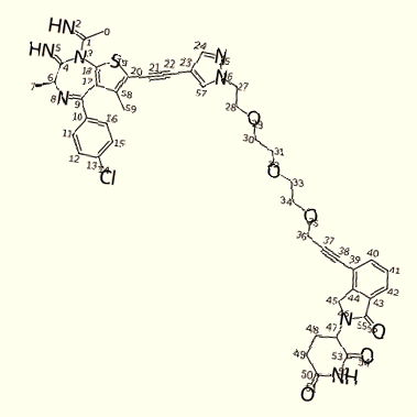 CC(=N)N1C(=N)[C@H](C)N=C(c2ccc(Cl)cc2)c2c1sc(C#Cc1cnn(CCOCCOCCOCC#Cc3cccc4c3CN(C3CCC(=O)NC3=O)C4=O)c1)c2C